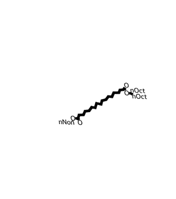 CCCCCCCCCOC(=O)CCCCCCCCCCCCCCCC(=O)OC(CCCCCCCC)CCCCCCCC